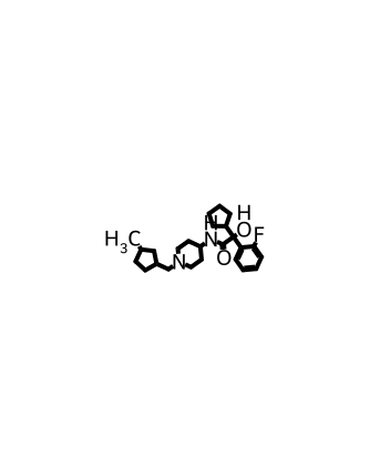 CC1CCC(CN2CCC(NC(=O)C(O)(c3ccccc3F)C3CCCC3)CC2)C1